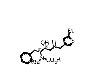 CCc1cc(CNC[C@@H](O)[C@H](Cc2ccccc2)N(C(=O)O)C(C)(C)C)cs1